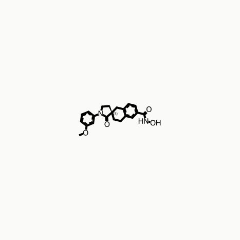 COc1cccc(N2CC[C@@]3(CCc4cc(C(=O)NO)ccc4C3)C2=O)c1